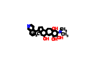 CN(C)[C@H]1C[C@]2(O)CCC3=C(C=C2[C@@H](O)[C@@H]1O)C(O)C[C@]1(C)C(c2cccc4cnccc24)=CCC31